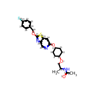 CC(=O)N[C@@H](C)CO[C@H]1CC[C@H](Oc2cc3sc(OCc4ccc(F)cc4)nc3cn2)CC1